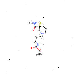 CCNC(=O)C1(S)CCCN(C2CCN(C(=O)OC(C)(C)C)CC2)C1